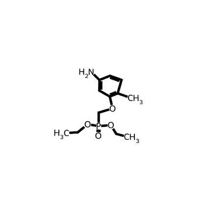 CCOP(=O)(COc1cc(N)ccc1C)OCC